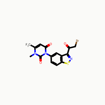 Cn1c(C(F)(F)F)cc(=O)n(-c2ccc3snc(C(=O)CBr)c3c2)c1=O